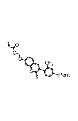 C=CC(=O)OCOc1ccc2cc(-c3ccc(CCCCC)cc3C(F)(F)F)c(=S)sc2c1